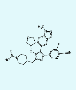 Cn1ncc2cc(-c3c(-c4ccc(C#N)c(F)c4)nn(CC4CCN(C(=O)O)CC4)c3OC3CCOC3)ccc21